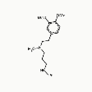 COc1ccc(CCN(C)CCCNC(C)C)cc1OC